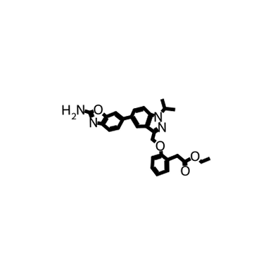 CCOC(=O)Cc1ccccc1OCc1nn(C(C)C)c2ccc(-c3ccc4nc(N)oc4c3)cc12